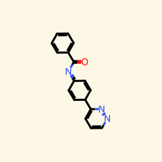 O=C(N=C1C=CC(c2cccnn2)C=C1)c1ccccc1